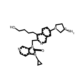 N[C@@H]1CCN(c2ccc3c(CCCCO)c(Cn4c(=O)n(C5CC5)c5ccncc54)ncc3c2)C1